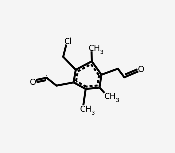 Cc1c(C)c(C[C]=O)c(CCl)c(C)c1CC=O